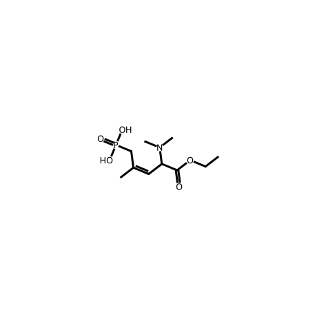 CCOC(=O)C(C=C(C)CP(=O)(O)O)N(C)C